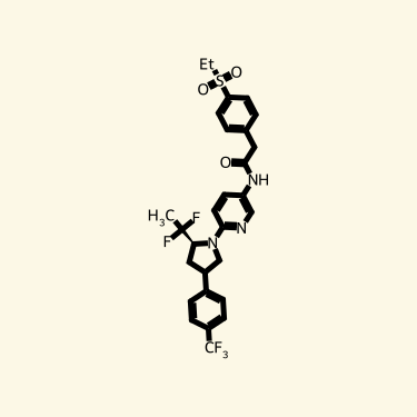 CCS(=O)(=O)c1ccc(CC(=O)Nc2ccc(N3CC(c4ccc(C(F)(F)F)cc4)C[C@H]3C(C)(F)F)nc2)cc1